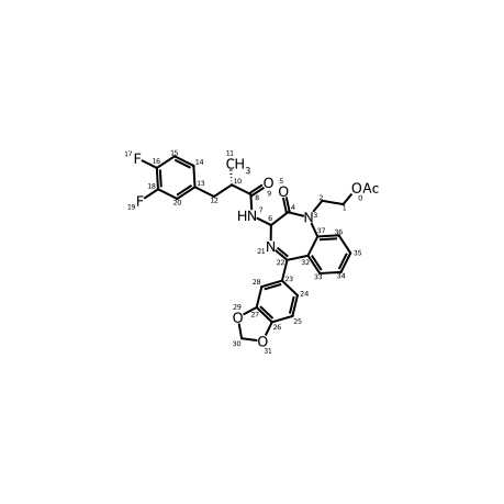 CC(=O)OCCN1C(=O)C(NC(=O)[C@@H](C)Cc2ccc(F)c(F)c2)N=C(c2ccc3c(c2)OCO3)c2ccccc21